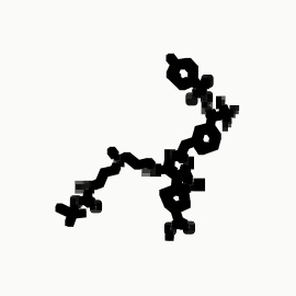 COC(=O)c1ccc2c(c1)[nH]c1nc(Cc3cccc(C(=NOS(=O)(=O)c4ccc(C)cc4)C(F)(F)F)c3)nc(NCCCN(C)CCCNC(=O)OC(C)(C)C)c12